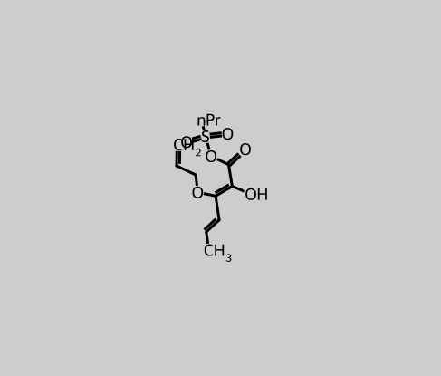 C=CCOC(/C=C/C)=C(/O)C(=O)OS(=O)(=O)CCC